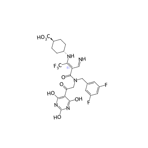 N=C/C(C(=O)N(CC(=O)c1c(O)nc(O)nc1O)Cc1cc(F)cc(F)c1)=C(\N[C@H]1CC[C@H](C(=O)O)CC1)C(F)(F)F